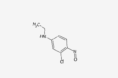 CCNc1ccc(N=O)c(Cl)c1